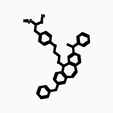 CCOC(Cc1ccc(OCCOC2c3ccc(Cc4ccccc4)cc3C=Cc3ccc(C(C)c4ccccc4)cc32)cc1)C(=O)O